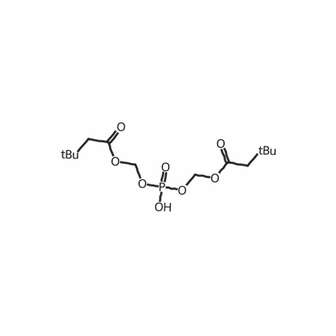 CC(C)(C)CC(=O)OCOP(=O)(O)OCOC(=O)CC(C)(C)C